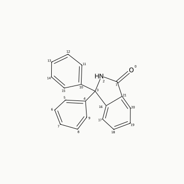 O=C1NC(c2ccccc2)(c2ccccc2)c2ccccc21